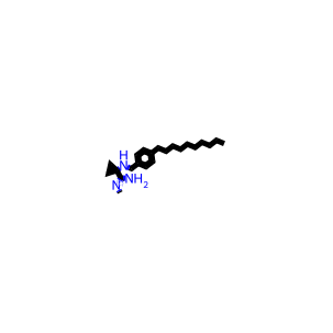 CCCCCCCCCCc1ccc(CNC2(/C(N)=N/C)CC2)cc1